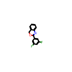 Fc1cc(F)cc(C2=Nc3ccccc3CO2)c1